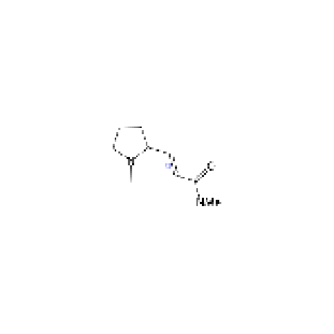 CNC(=O)/C=C/C1CCCN1C